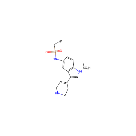 CC(C)CS(=O)(=O)Nc1ccc2[nH]cc(C3=CCNCC3)c2c1.CS(=O)(=O)O